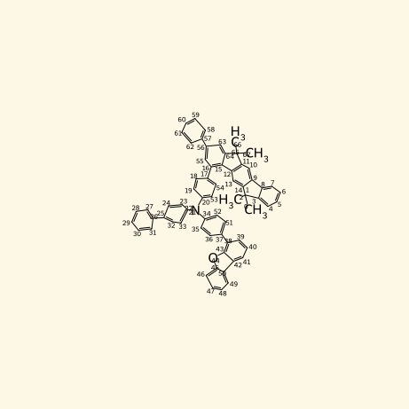 CC1(C)c2ccccc2-c2cc3c(cc21)-c1c(-c2ccc(N(c4ccc(-c5ccccc5)cc4)c4ccc(-c5cccc6c5oc5ccccc56)cc4)cc2)cc(-c2ccccc2)cc1C3(C)C